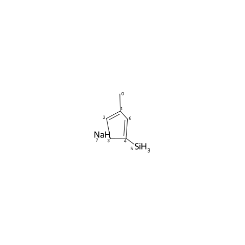 CC1=CCC([SiH3])=C1.[NaH]